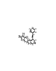 O=C1NC(=S)SC1=Cc1cc2cncc(C#Cc3ccccn3)c2o1